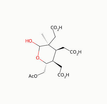 CC(=O)OC[C@@H]1OC(O)[C@@](C)(CC(=O)O)[C@@H](CC(=O)O)[C@H]1CC(=O)O